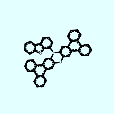 c1ccc2c(c1)oc1c(B3c4cc5c6ccccc6c6ccccc6c5cc4Oc4cc5c6ccccc6c6ccccc6c5cc43)cccc12